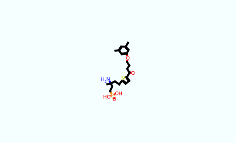 Cc1cc(C)cc(OCCCC(=O)c2ccc(CCC(C)(N)CCP(=O)(O)O)s2)c1